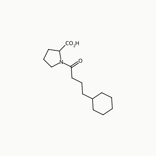 O=C(O)C1CCCN1C(=O)CCCC1CCCCC1